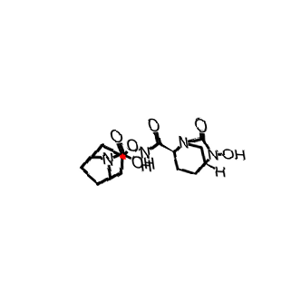 O=C(NOC1CC2CCC(C1)N2C(=O)O)[C@@H]1CC[C@@H]2CN1C(=O)N2O